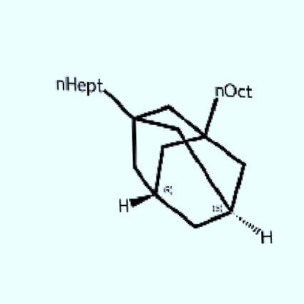 CCCCCCCCC12C[C@@H]3C[C@@H](CC(CCCCCCC)(C3)C1)C2